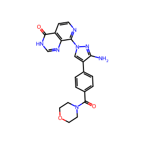 Nc1nn(-c2nccc3c(=O)[nH]cnc23)cc1-c1ccc(C(=O)N2CCOCC2)cc1